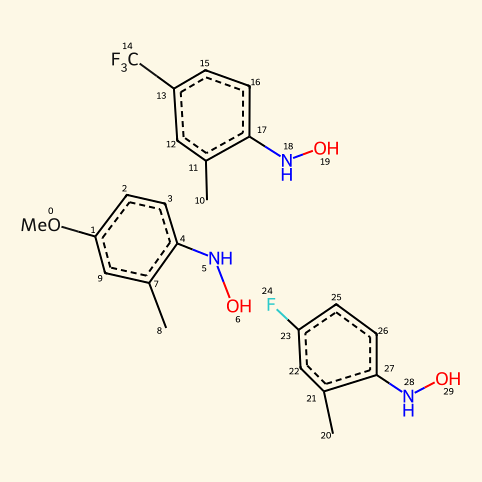 COc1ccc(NO)c(C)c1.Cc1cc(C(F)(F)F)ccc1NO.Cc1cc(F)ccc1NO